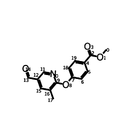 COC(=O)c1ccc(Oc2ncc(C=O)cc2C)cc1